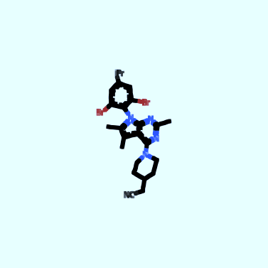 Cc1nc(N2CCC(CC#N)CC2)c2c(C)c(C)n(-c3c(Br)cc(C(C)C)cc3Br)c2n1